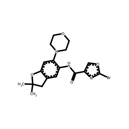 CC1(C)Cc2cc(NC(=O)c3coc(Br)n3)c(N3CCOCC3)cc2O1